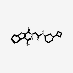 CC(C)c1nn(CC(=O)N[C@@H]2CCCN(C3CCC3)C2)c(=O)c2sc3ccccc3c12